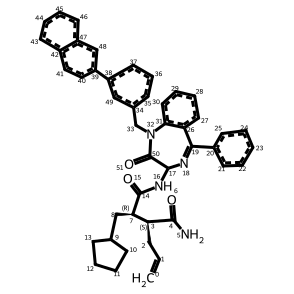 C=CC[C@H](C(N)=O)[C@@H](CC1CCCC1)C(=O)NC1N=C(c2ccccc2)c2ccccc2N(Cc2cccc(-c3ccc4ccccc4c3)c2)C1=O